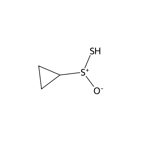 [O-][S+](S)C1CC1